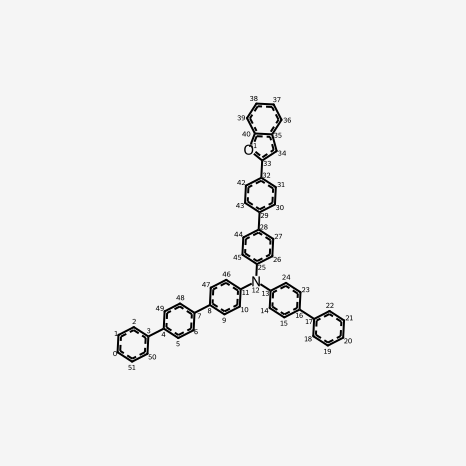 c1ccc(-c2ccc(-c3ccc(N(c4ccc(-c5ccccc5)cc4)c4ccc(-c5ccc(-c6cc7ccccc7o6)cc5)cc4)cc3)cc2)cc1